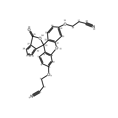 N#CCCOc1ccc2c(c1)Oc1cc(OCCC#N)ccc1C21OC(=O)c2ccccc21